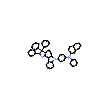 c1ccc(C2=Nc3c(ccc4c3c3ccccc3n4-c3ccc(N(c4ccccc4)c4ccc5ccccc5c4)cc3)C2(c2ccccc2)c2ccccc2)cc1